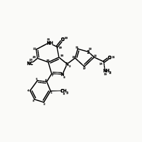 Cc1ccccc1-c1nn(-c2csc(C(N)=O)c2)c2c(=O)[nH]cc(C#N)c12